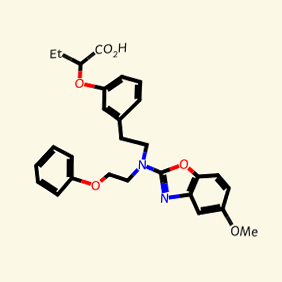 CCC(Oc1cccc(CCN(CCOc2ccccc2)c2nc3cc(OC)ccc3o2)c1)C(=O)O